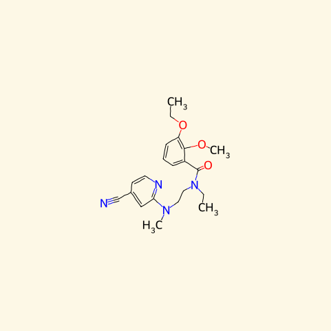 CCOc1cccc(C(=O)N(CC)CCN(C)c2cc(C#N)ccn2)c1OC